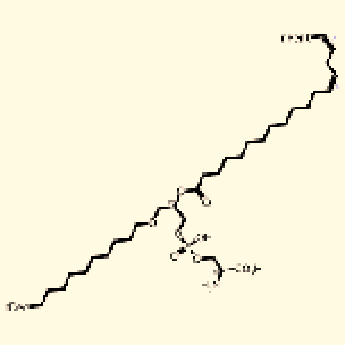 CCCCC/C=C\C/C=C\CCCCCCCCCCCC(=O)O[C@H](COCCCCCCCCCCCCCCCCCCCC)COP(=O)(O)OC[C@H](N)C(=O)O